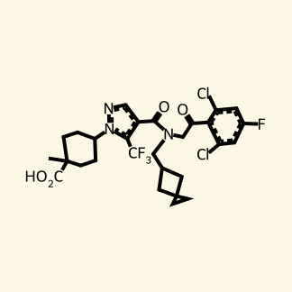 CC1(C(=O)O)CCC(n2ncc(C(=O)N(CC(=O)c3c(Cl)cc(F)cc3Cl)CC3CC4(CC4)C3)c2C(F)(F)F)CC1